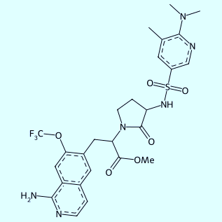 COC(=O)C(Cc1cc2ccnc(N)c2cc1OC(F)(F)F)N1CCC(NS(=O)(=O)c2cnc(N(C)C)c(C)c2)C1=O